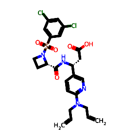 C=CCN(CC=C)c1ccc([C@@H](CC(=O)O)NC(=O)[C@@H]2CCN2S(=O)(=O)c2cc(Cl)cc(Cl)c2)cn1